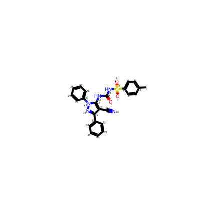 Cc1ccc(S(=O)(=O)NC(=O)Nc2c(C#N)c(-c3ccccc3)nn2-c2ccccc2)cc1